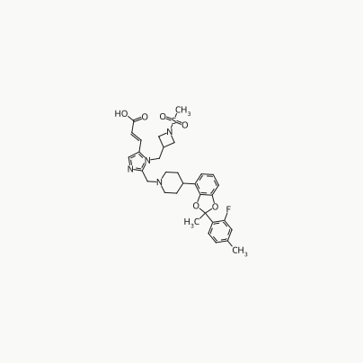 Cc1ccc(C2(C)Oc3cccc(C4CCN(Cc5ncc(/C=C/C(=O)O)n5CC5CN(S(C)(=O)=O)C5)CC4)c3O2)c(F)c1